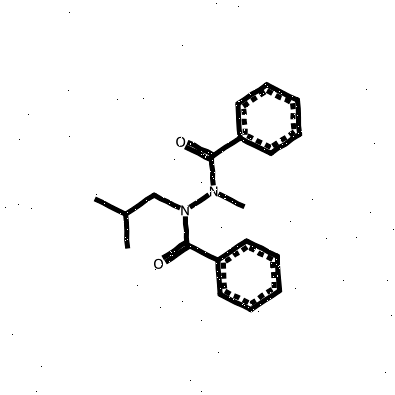 CC(C)CN(C(=O)c1ccccc1)N(C)C(=O)c1ccccc1